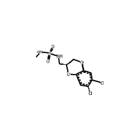 CNS(=O)(=O)NC[C@H]1COc2cc(Cl)c(Cl)cc2O1